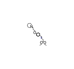 CCOC(C/C=C/c1ccc(OCCCN2CCCCCC2)cc1)OCC